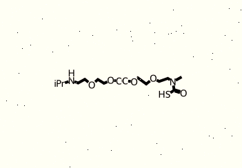 CC(C)NCCOCCOCCOCCOCCN(C)C(=O)S